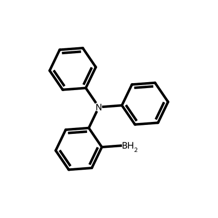 Bc1ccccc1N(c1ccccc1)c1ccccc1